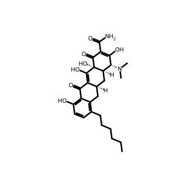 CCCCCCc1ccc(O)c2c1C[C@@H]1C[C@@H]3[C@@H](N(C)C)C(O)=C(C(N)=O)C(=O)[C@]3(O)C(O)=C1C2=O